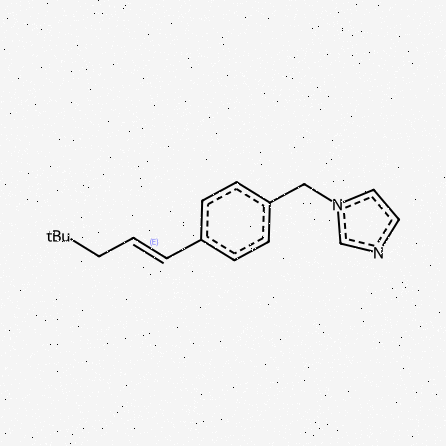 CC(C)(C)C/C=C/c1ccc(Cn2ccnc2)cc1